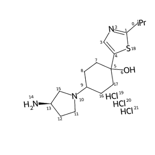 CC(C)c1ncc(C2(O)CCC(N3CC[C@@H](N)C3)CC2)s1.Cl.Cl.Cl